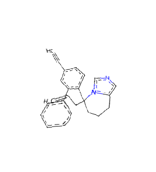 C#Cc1ccc(C2(CC=C)CCCc3cncn32)c(-c2ccccc2)c1